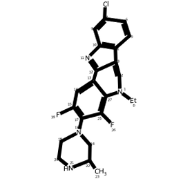 CCn1cc2c3ccc(Cl)cc3nc-2c2cc(F)c(N3CCNC(C)C3)c(F)c21